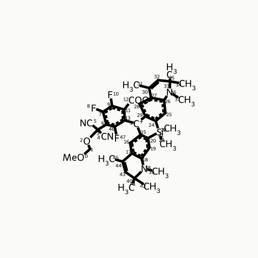 COCOC(C#N)(C#N)c1c(F)c(F)c(C(=O)[O-])c([C+]2c3cc4c(cc3[Si](C)(C)c3cc5c(cc32)C(C)=CC(C)(C)N5C)N(C)C(C)(C)C=C4C)c1F